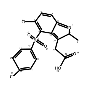 CC1N=c2ccc(Cl)c(S(=O)(=O)c3ccc(Cl)cc3)c2=C1CC(=O)O